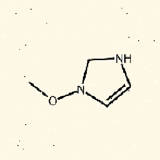 CON1C=CNC1